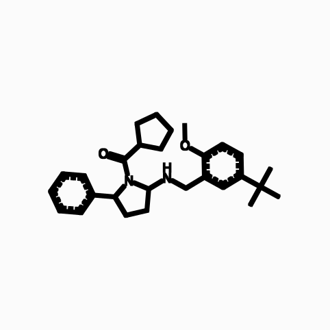 COc1ccc(C(C)(C)C)cc1CNC1CCC(c2ccccc2)N1C(=O)C1CCCC1